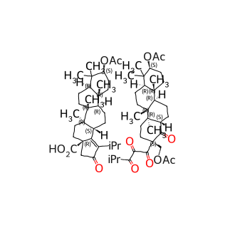 CC(=O)OC[C@@]1(C(=O)C(=O)C(=O)C(C)C)CC[C@]2(C)[C@H](CC[C@@H]3[C@@]4(C)CC[C@H](OC(C)=O)C(C)(C)[C@@H]4CC[C@]32C)C1=O.CC(=O)O[C@H]1CC[C@]2(C)[C@H]3CC[C@@H]4C5=C(C(C)C)C(=O)C[C@]5(C(=O)O)CC[C@@]4(C)[C@]3(C)CC[C@H]2C1(C)C